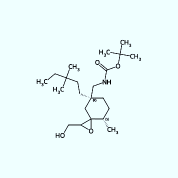 CCC(C)(C)CC[C@]1(CNC(=O)OC(C)(C)C)CC[C@H](C)C2(C1)OC2CO